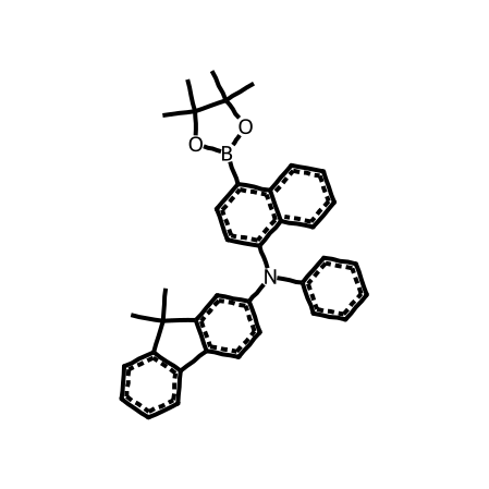 CC1(C)c2ccccc2-c2ccc(N(c3ccccc3)c3ccc(B4OC(C)(C)C(C)(C)O4)c4ccccc34)cc21